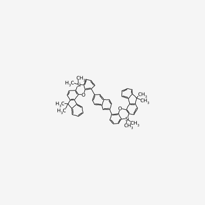 CC1(C)c2ccccc2-c2c1ccc1c2Oc2c(-c3ccc4cc(-c5cccc6c5Oc5c(ccc7c5-c5ccccc5C7(C)C)[Si]6(C)C)ccc4c3)cccc2[Si]1(C)C